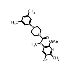 COc1nc(C)c(C(C)=O)cc1N(C)C(=O)N1CCN(c2cc(C)cc(C)c2)CC1